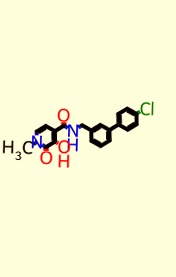 Cn1ccc(C(=O)NCc2cccc(-c3ccc(Cl)cc3)c2)c(O)c1=O